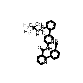 CC(C)(C)NS(=O)(=O)c1ccccc1-c1ccc(NC(=O)c2cccnc2-c2cccc(C#N)c2)nc1